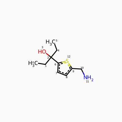 CCC(O)(CC)c1ccc(CN)s1